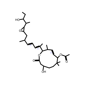 CCC(O)C(C)C1OC1CC(C)/C=C/C=C(\C)C1OC(=O)CC(O)CCC(C)(C)C(OC(C)=O)/C=C/C1C